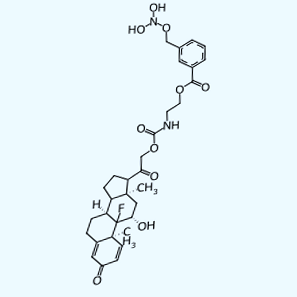 C[C@]12C[C@H](O)C3(F)[C@@H](CCC4=CC(=O)C=C[C@@]43C)C1CCC2C(=O)COC(=O)NCCOC(=O)c1cccc(CON(O)O)c1